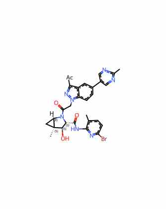 CC(=O)c1nn(CC(=O)N2[C@H](C(=O)Nc3nc(Br)ccc3C)[C@@H](O)[C@@]3(C)C[C@@H]23)c2ccc(-c3cnc(C)nc3)cc12